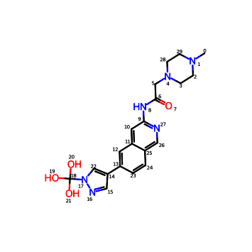 CN1CCN(CC(=O)Nc2cc3cc(-c4cnn(C(O)(O)O)c4)ccc3cn2)CC1